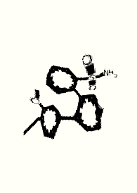 COc1cc(-c2ccccc2-c2ccccc2S(N)(=O)=O)ccc1C